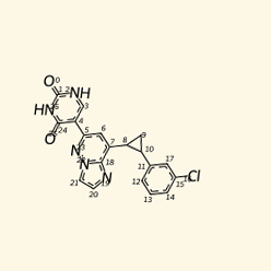 O=c1[nH]cc(-c2cc(C3CC3c3cccc(Cl)c3)c3nccn3n2)c(=O)[nH]1